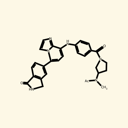 CC(=O)N(C)C1CCN(C(=O)c2ccc(Nc3ccc(-c4ccc5c(c4)CNC5=O)n4ccnc34)cc2)C1